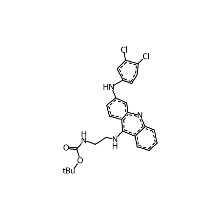 CC(C)(C)OC(=O)NCCNc1c2ccccc2nc2cc(Nc3ccc(Cl)c(Cl)c3)ccc12